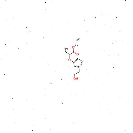 C=CCOC(=O)[C@H](CC(C)C)Oc1cccc(CCO)c1